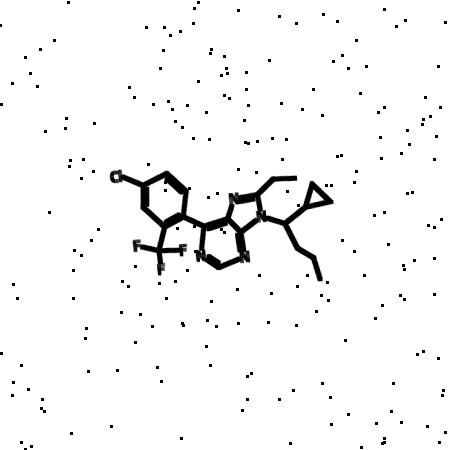 CCCC(C1CC1)n1c(CC)nc2c(-c3ccc(Cl)cc3C(F)(F)F)ncnc21